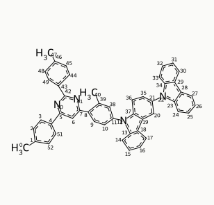 Cc1ccc(-c2cc(-c3ccc(-n4c5ccccc5c5cc(-n6c7ccccc7c7ccccc76)ccc54)cc3C)nc(-c3ccc(C)cc3)n2)cc1